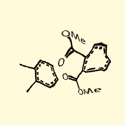 COC(=O)c1ccccc1C(=O)OC.Cc1ccccc1C